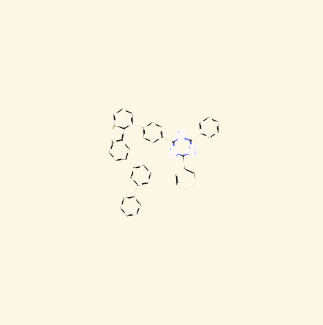 C1=CC(c2nc(-c3ccccc3)nc(-c3ccc(-c4cccc5sc6ccc(-c7cccc(-c8ccccc8)c7)cc6c45)cc3)n2)=CCC1